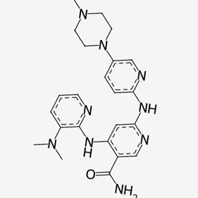 CN1CCN(c2ccc(Nc3cc(Nc4ncccc4N(C)C)c(C(N)=O)cn3)nc2)CC1